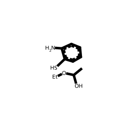 CCOC(C)O.Nc1ccccc1S